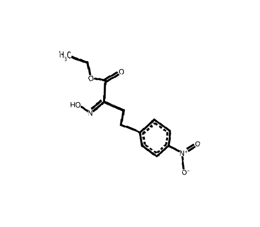 CCOC(=O)C(CCc1ccc([N+](=O)[O-])cc1)=NO